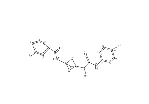 Cc1cccc(C(=O)NC23CC(C(C)C(=O)Nc4ccc(F)cc4)(C2)C3)n1